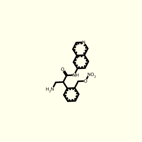 NCC(C(=O)Nc1ccc2cnccc2c1)c1ccccc1CO[N+](=O)[O-]